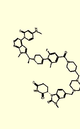 CNc1ccn(-c2ccnc3c2cc([C@H](C)N2CC=C(c4c(C)cc(C(=O)N5CCC(CN6CCN(Cc7ccc8c(c7)n(C)c(=O)n8[C@H]7CCC(=O)NC7=O)C[C@@H]6C)CC5)cc4F)CC2)n3C)c(=O)c1